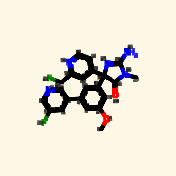 COc1cc(-c2cncc(F)c2)cc(C2(c3ccnc(CF)c3)N=C(N)N(C)C2=O)c1